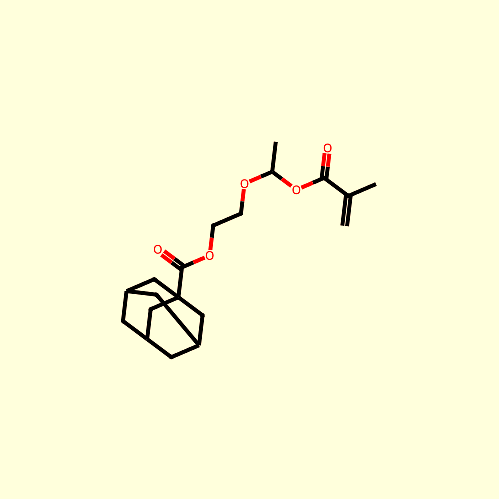 C=C(C)C(=O)OC(C)OCCOC(=O)C12CC3CC(CC(C3)C1)C2